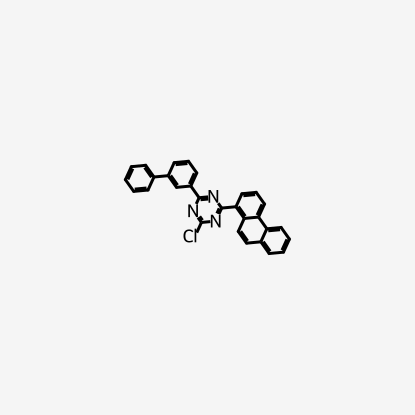 Clc1nc(-c2cccc(-c3ccccc3)c2)nc(-c2cccc3c2ccc2ccccc23)n1